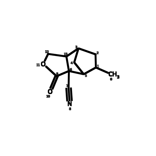 CC1CC2CC1C1(C#N)C(=O)OCC21